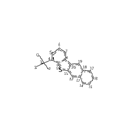 CC(C)(C)c1cccc2c1sc1cc3ccccc3cc12